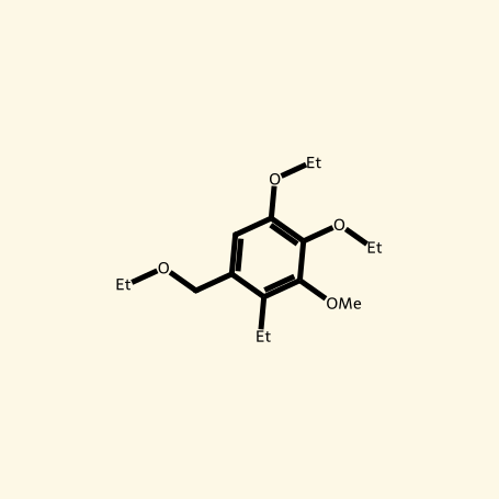 CCOCc1cc(OCC)c(OCC)c(OC)c1CC